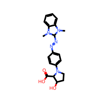 CN1c2ccccc2N(C)C1N=Nc1ccc(N2CCC(O)C2C(=O)O)cc1